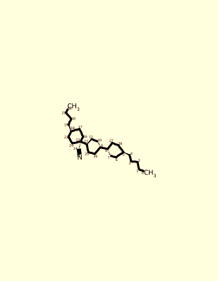 CCCCC[C@H]1CC[C@H]([C@H]2CC[C@H]([C@]3(C#N)CC[C@H](CCCC)CC3)CC2)CC1